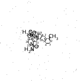 Cc1ccccc1Cc1cccc(CC2C(NS(C)(=O)=O)CCCN2C(N)=O)c1